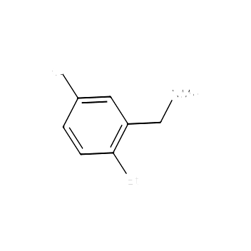 [CH2-][CH+]c1ccc(Cl)cc1CNC